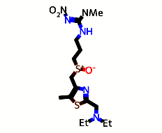 CCN(CC)Cc1nc(C[S+]([O-])CCCNC(=N[N+](=O)[O-])NC)c(C)s1